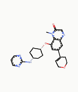 Cn1c(=O)cnc2cc(C3=CCOCC3)cc(O[C@H]3CC[C@@H](Nc4ncccn4)CC3)c21